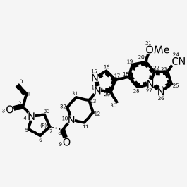 C=CC(=O)N1CC[C@@H](C(=O)N2CCC(n3ncc(-c4cc(OC)c5c(C#N)cnn5c4)c3C)CC2)C1